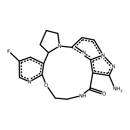 Nc1nn2ccc3nc2c1C(=O)NCCOc1ncc(F)cc1C1CCCN31